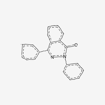 O=c1c2ccccc2c(-c2c[c]ccc2)nn1-c1ccccc1